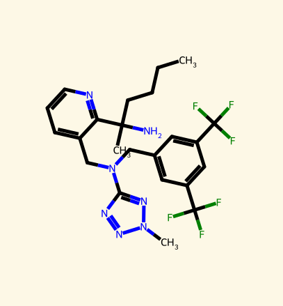 CCCCC(C)(N)c1ncccc1CN(Cc1cc(C(F)(F)F)cc(C(F)(F)F)c1)c1nnn(C)n1